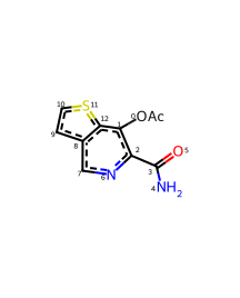 CC(=O)Oc1c(C(N)=O)ncc2ccsc12